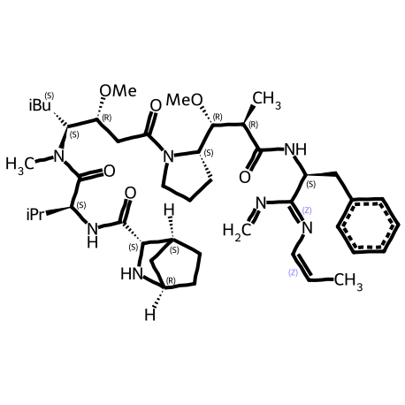 C=N/C(=N\C=C/C)[C@H](Cc1ccccc1)NC(=O)[C@H](C)[C@@H](OC)[C@@H]1CCCN1C(=O)C[C@@H](OC)[C@H]([C@@H](C)CC)N(C)C(=O)[C@@H](NC(=O)[C@H]1N[C@@H]2CC[C@H]1C2)C(C)C